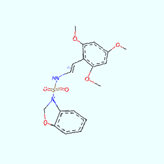 COc1cc(OC)c(/C=C/NS(=O)(=O)N2COc3ccccc32)c(OC)c1